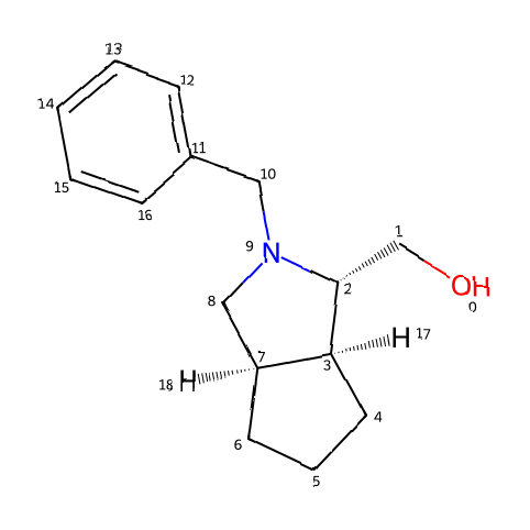 OC[C@@H]1[C@H]2CCC[C@H]2CN1Cc1ccccc1